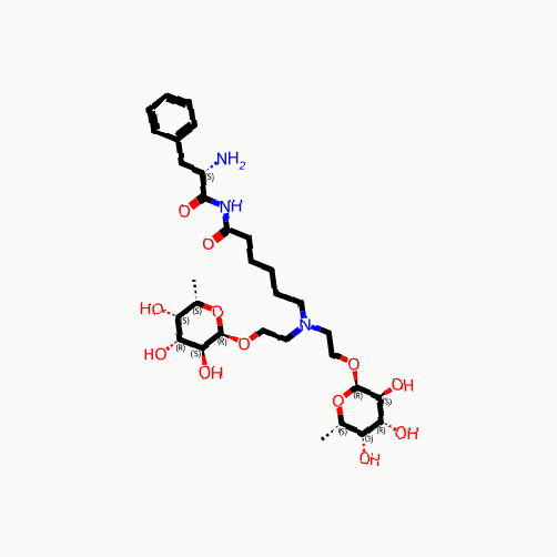 C[C@@H]1O[C@@H](OCCN(CCCCCC(=O)NC(=O)[C@@H](N)Cc2ccccc2)CCO[C@@H]2O[C@@H](C)[C@@H](O)[C@@H](O)[C@@H]2O)[C@@H](O)[C@H](O)[C@@H]1O